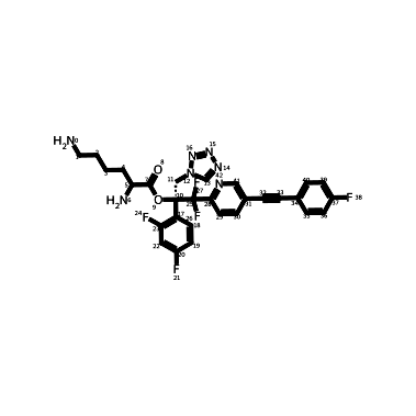 NCCCCC(N)C(=O)O[C@](Cn1cnnn1)(c1ccc(F)cc1F)C(F)(F)c1ccc(C#Cc2ccc(F)cc2)cn1